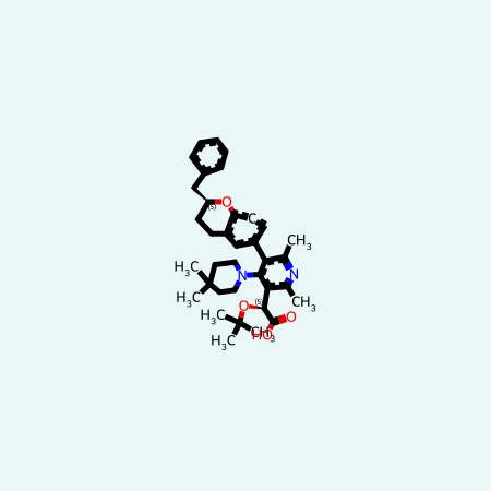 Cc1nc(C)c([C@H](OC(C)(C)C)C(=O)O)c(N2CCC(C)(C)CC2)c1-c1ccc2c(c1)CC[C@@H](Cc1ccccc1)O2